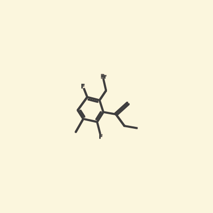 C=C(CC)c1c(F)c(C)cc(F)c1CBr